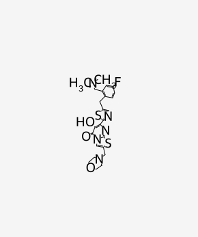 CN(C)Cc1cc(F)ccc1Cc1cnc(-c2nc3sc(CN4CCOCC4)cn3c(=O)c2O)s1